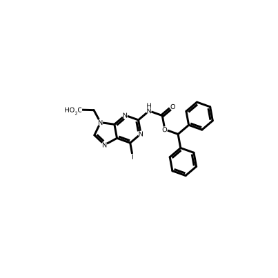 O=C(O)Cn1cnc2c(I)nc(NC(=O)OC(c3ccccc3)c3ccccc3)nc21